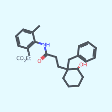 CCOC(=O)c1cccc(C)c1NC(=O)CCC1(Cc2ccccc2)CCCCC1O